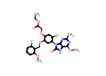 CCOC(=O)COc1cc(Cl)c(-n2c(=O)[nH]c3c(OC)nc(C)nc32)cc1OCc1c(F)cccc1OC